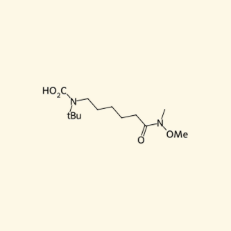 CON(C)C(=O)CCCCCN(C(=O)O)C(C)(C)C